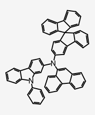 c1ccc(-n2c3ccccc3c3ccc(N(c4ccc5c(c4)-c4ccccc4C54c5ccccc5-c5ccccc54)c4cc5ccccc5c5ccccc45)cc32)cc1